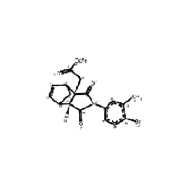 COC(=O)C[C@@]12C(=O)N(c3ccc(Br)c(C)c3)C(=O)[C@@H]1C1C=CC2C1